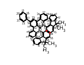 CC1(C)c2ccccc2-c2c(N3B4c5c(cc(-c6ccccc6)cc5-c5ccccc5N4c4cccc5c4-c4ccccc4C5(C)C)-c4ccccc43)cccc21